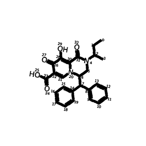 CCC(C)N1CC(C(c2ccccc2)c2ccccc2)n2cc(C(=O)O)c(=O)c(O)c2C1=O